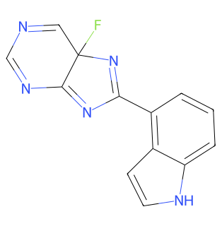 FC12C=NC=NC1=NC(c1cccc3[nH]ccc13)=N2